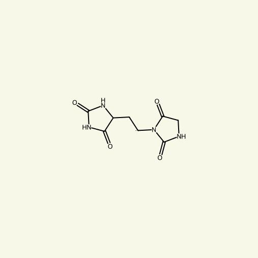 O=C1NC(=O)C(C[CH]N2C(=O)CNC2=O)N1